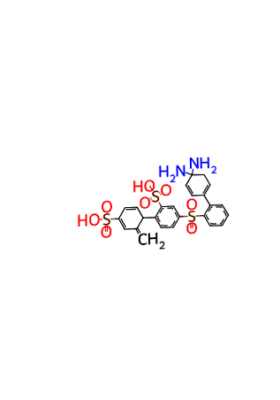 C=C1C=C(S(=O)(=O)O)C=CC1c1ccc(S(=O)(=O)c2ccccc2C2=CCC(N)(N)C=C2)cc1S(=O)(=O)O